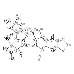 CCOP(=O)(OCC)C(C)(S)[C@H]1O[C@@H](n2ccc3c(NC4CCCC4)c(C#N)c(Cl)nc32)[C@@H]2OC(C)(C)O[C@@H]21